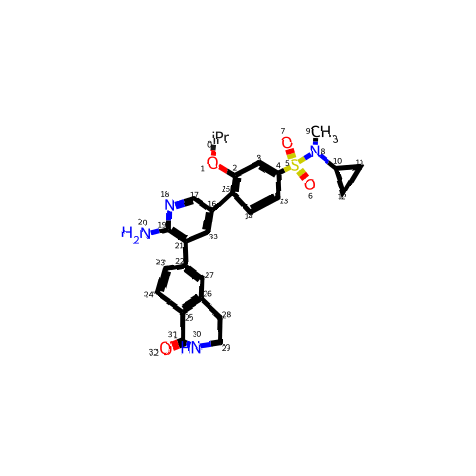 CC(C)Oc1cc(S(=O)(=O)N(C)C2CC2)ccc1-c1cnc(N)c(-c2ccc3c(c2)CCNC3=O)c1